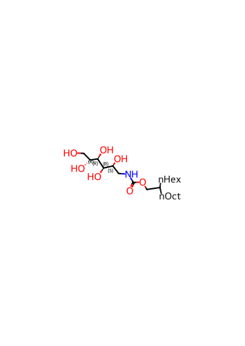 CCCCCCCCC(CCCCCC)COC(=O)NC[C@H](O)[C@@H](O)[C@H](O)[C@H](O)CO